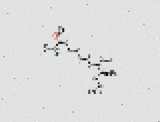 C=C\C(=C/C=C/C=C/C=C(OCC)\C(F)=C\F)C(CCCC)CCC(C)C